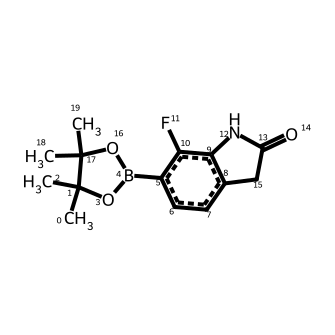 CC1(C)OB(c2ccc3c(c2F)NC(=O)C3)OC1(C)C